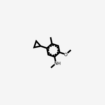 CNc1cc(C2CC2)c(C)cc1OC